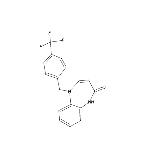 O=C1C=CN(Cc2ccc(C(F)(F)F)cc2)c2ccccc2N1